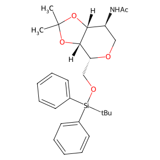 CC(=O)N[C@H]1CO[C@H](CO[Si](c2ccccc2)(c2ccccc2)C(C)(C)C)[C@@H]2OC(C)(C)O[C@@H]21